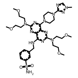 COCCN(CCOC)c1nc(N2CCN(c3ncn(C)n3)CC2)c2nc(N(CCOC)CCOC)nc(NCc3cccc(S(N)(=O)=O)c3)c2n1